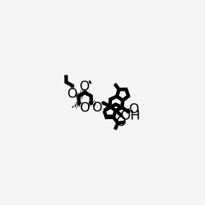 CCCO[C@H]1[C@@H](OC)C[C@H](OCC23CC4C(C)CCC4C4(C=O)CC2C=C(C(C)C)C43C(=O)O)O[C@@H]1C